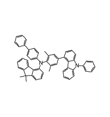 Cc1cc(-c2cccc3c2c2ccccc2n3-c2ccccc2)cc(C)c1N(c1ccc(-c2ccccc2)cc1)c1cccc2c1-c1ccccc1C2(C)C